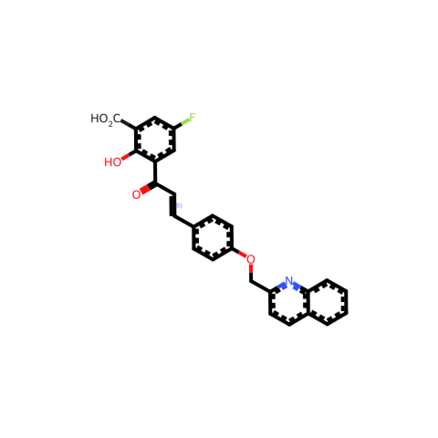 O=C(O)c1cc(F)cc(C(=O)/C=C/c2ccc(OCc3ccc4ccccc4n3)cc2)c1O